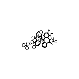 COC(=O)OCOc1c2n(ccc1=O)N([C@@H]1c3ccccc3-c3sc(F)nc3-c3c1ccc(F)c3F)[C@@H]1COCCN1C2=O